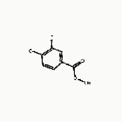 COC(=O)c1ccc(Cl)c(F)c1